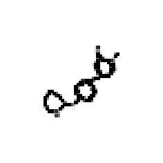 Cn1ccc(-c2ccc(OC3CCCCO3)cc2)cc1=O